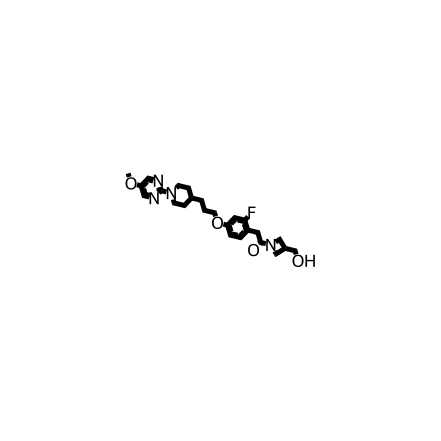 COc1cnc(N2CCC(CCCOc3ccc(CC(=O)N4CC(CO)C4)c(F)c3)CC2)nc1